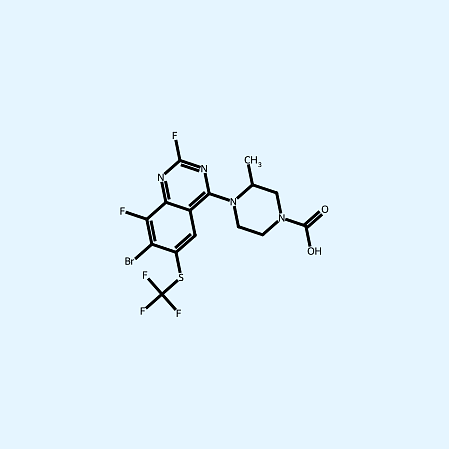 CC1CN(C(=O)O)CCN1c1nc(F)nc2c(F)c(Br)c(SC(F)(F)F)cc12